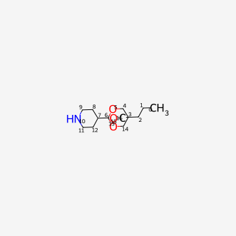 CCCC12COC(C3CCNCC3)(OC1)OC2